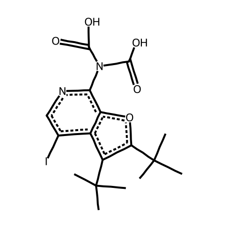 CC(C)(C)c1oc2c(N(C(=O)O)C(=O)O)ncc(I)c2c1C(C)(C)C